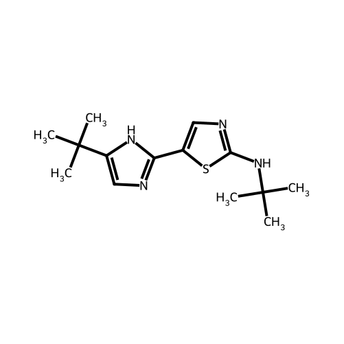 CC(C)(C)Nc1ncc(-c2ncc(C(C)(C)C)[nH]2)s1